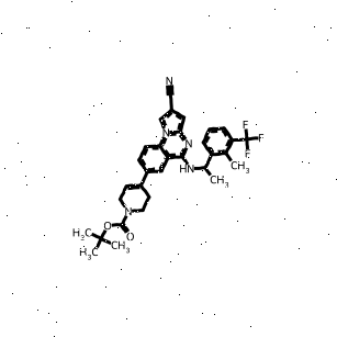 Cc1c(C(C)Nc2nc3cc(C#N)cn3c3ccc(C4=CCN(C(=O)OC(C)(C)C)CC4)cc23)cccc1C(F)(F)F